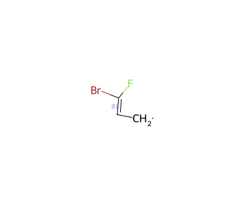 [CH2]/C=C(\F)Br